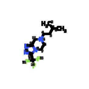 CC(C)CCN1CCn2c(nnc2C(F)(F)F)C1